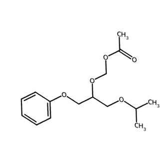 CC(=O)OCOC(COc1ccccc1)COC(C)C